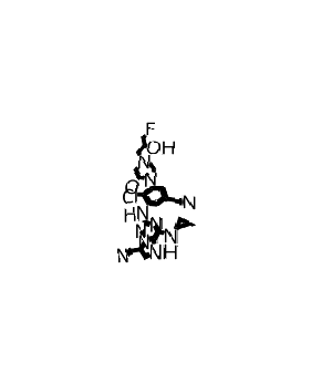 N#Cc1cc(Nc2nc(NC3CC3)c3ncc(C#N)n3n2)c(Cl)c(N2CCN(CC(O)CF)CC2=O)c1